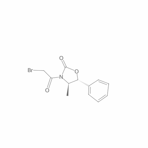 C[C@@H]1[C@@H](c2ccccc2)OC(=O)N1C(=O)CBr